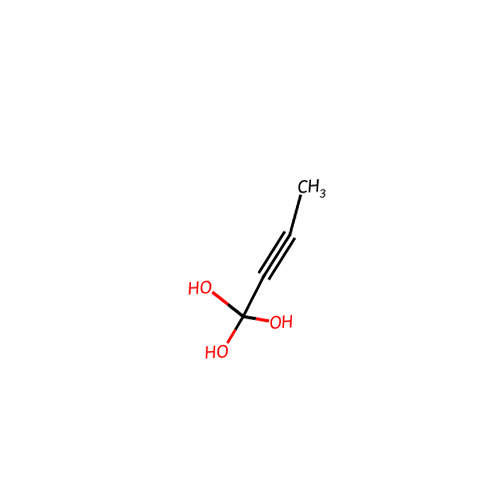 CC#CC(O)(O)O